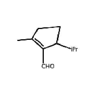 CC1=C(C=O)C(C(C)C)CC1